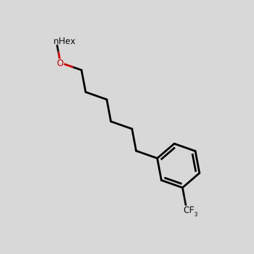 [CH2]CCCCCOCCCCCCc1cccc(C(F)(F)F)c1